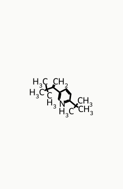 C=C(c1ccc(C(C)(C)C)nc1)C(C)(C)C